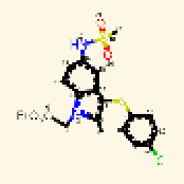 CCOC(=O)Cn1c(C)c(Sc2ccc(Cl)cc2)c2cc(NS(C)(=O)=O)ccc21